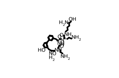 NCCC[C@H](NC(=O)[C@@H]1Cc2cccc(c2)-c2ccc(O)c(c2)C[C@H](N)C(=O)N[C@@H](CCCN)C(=O)N1)C(=O)NCCCC[C@H](N)CO